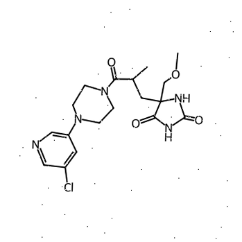 COCC1(CC(C)C(=O)N2CCN(c3cncc(Cl)c3)CC2)NC(=O)NC1=O